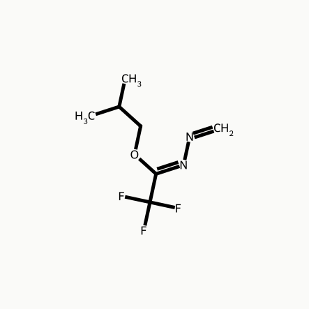 C=N/N=C(\OCC(C)C)C(F)(F)F